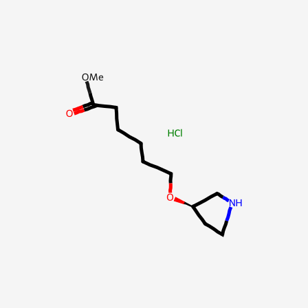 COC(=O)CCCCCO[C@@H]1CCNC1.Cl